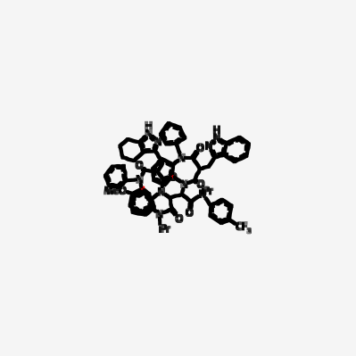 COc1ccc(N(C(=O)C(C(C(=O)N(c2ccc(C(F)(F)F)cc2)C(C)C)N2C(=O)C(Cc3n[nH]c4ccccc34)C(=O)N(c3ccccc3)c3ccccc32)N2C(=O)C(Cc3n[nH]c4c3CCCC4)C(=O)N(c3ccccc3)c3ccccc32)C(C)C)cc1